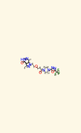 Cc1nn(CCOCCC(=O)N2CCN(c3nnc(C(F)(F)F)o3)CC2)c2cn[nH]c(=O)c12